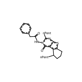 CCCCCc1nc2sc3c(c2c(=O)n1NC(=O)Cc1ccccc1)C(CCCCC)CCC3